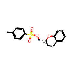 Cc1ccc(S(=O)(=O)OC[C@H]2CCc3ccccc3O2)cc1